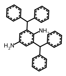 Nc1cc(C(c2ccccc2)c2ccccc2)c(N)c(C(c2ccccc2)c2ccccc2)c1